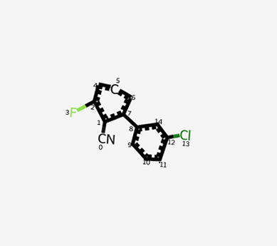 N#Cc1c(F)cccc1-c1cc[c]c(Cl)c1